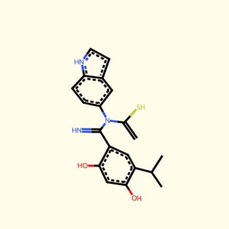 C=C(S)N(C(=N)c1cc(C(C)C)c(O)cc1O)c1ccc2[nH]ccc2c1